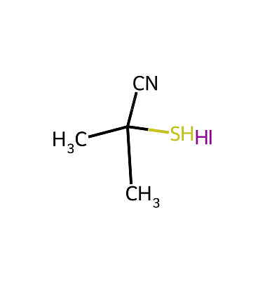 CC(C)(S)C#N.I